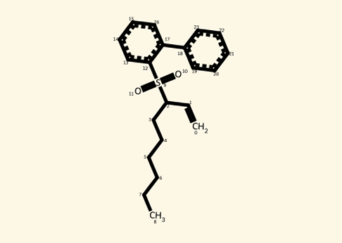 C=CC(CCCCCC)S(=O)(=O)c1ccccc1-c1ccccc1